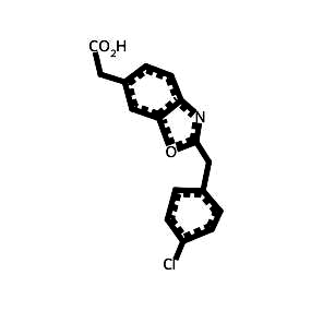 O=C(O)Cc1ccc2nc(Cc3ccc(Cl)cc3)oc2c1